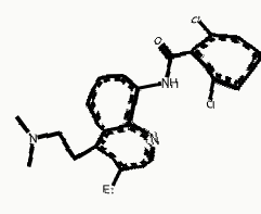 CCc1cnc2c(NC(=O)c3c(Cl)cccc3Cl)cccc2c1CCN(C)C